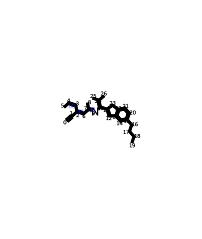 C#CC(/C=C\C)=C/C(C)=N/C(C1=Cc2cc(CCCC)ccc2C1)=C(C)C